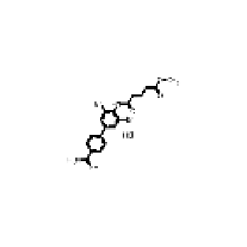 COC(=O)CCCC(=O)Nc1c(Br)cc(-c2ccc(C(=N)N)cc2)cc1Br.Cl